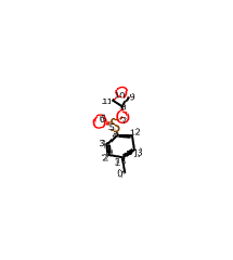 Cc1ccc(S(=O)OC2COC2)cc1